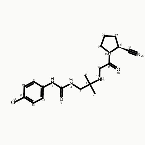 CC(C)(CNC(=O)Nc1ccc(Cl)cc1)NCC(=O)N1CCC[C@H]1C#N